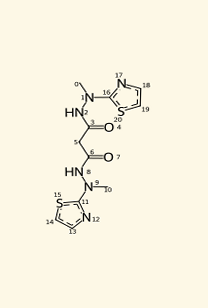 CN(NC(=O)CC(=O)NN(C)c1nccs1)c1nccs1